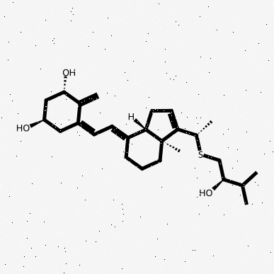 C=C1C(=CC=C2CCC[C@]3(C)C([C@H](C)SC[C@H](O)C(C)C)=CC[C@@H]23)C[C@@H](O)C[C@@H]1O